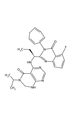 CC[C@H](Nc1ncnc2c1C(=O)N(C(C)C)CN2)c1nc2cccc(F)c2c(=O)n1C1=CC=CCC=C1